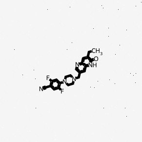 CCc1cc2ncc(CN3CCN(c4cc(F)c(C#N)cc4F)CC3)cc2[nH]c1=O